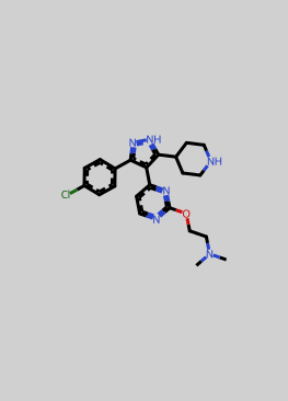 CN(C)CCOc1nccc(-c2c(-c3ccc(Cl)cc3)n[nH]c2C2CCNCC2)n1